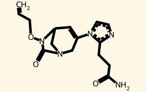 C=CCON1C(=O)N2CC(n3ccnc3CCC(N)=O)=CC1C2